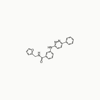 O=C(NCc1ccco1)c1cccc(Nc2ccc(-c3ccccc3)nn2)c1